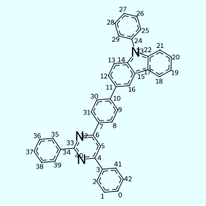 c1ccc(-c2cc(-c3ccc(-c4ccc5c(c4)c4ccccc4n5-c4ccccc4)cc3)nc(-c3ccccc3)n2)cc1